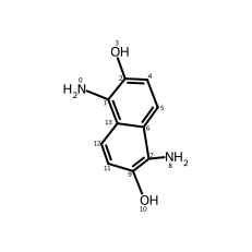 Nc1c(O)ccc2c(N)c(O)ccc12